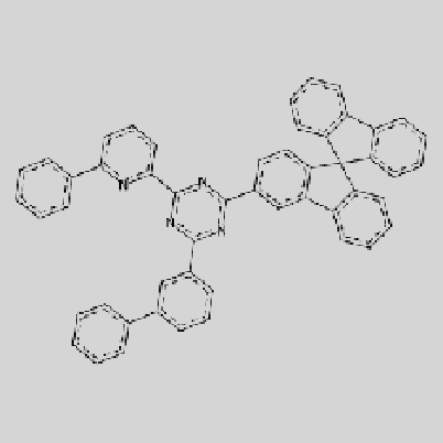 c1ccc(-c2cccc(-c3nc(-c4ccc5c(c4)-c4ccccc4C54c5ccccc5-c5ccccc54)nc(-c4cccc(-c5ccccc5)n4)n3)c2)cc1